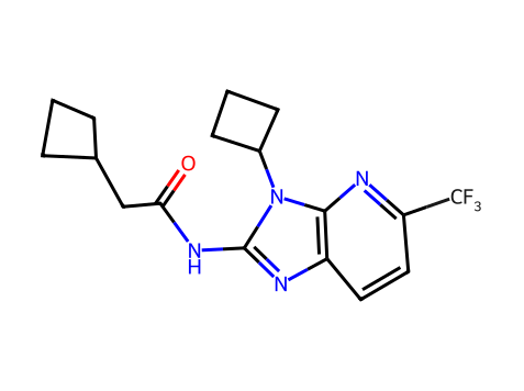 O=C(CC1CCC1)Nc1nc2ccc(C(F)(F)F)nc2n1C1CCC1